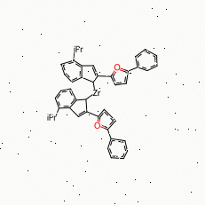 CC(C)c1cccc2c1C=C(c1ccc(-c3ccccc3)o1)[CH]2[Zr][CH]1C(c2ccc(-c3ccccc3)o2)=Cc2c(C(C)C)cccc21